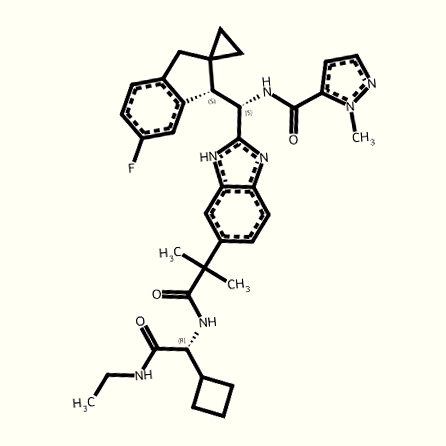 CCNC(=O)[C@H](NC(=O)C(C)(C)c1ccc2nc([C@@H](NC(=O)c3ccnn3C)[C@@H]3c4cc(F)ccc4CC34CC4)[nH]c2c1)C1CCC1